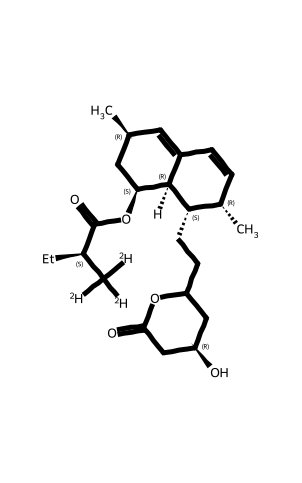 [2H]C([2H])([2H])[C@@H](CC)C(=O)O[C@H]1C[C@@H](C)C=C2C=C[C@H](C)[C@H](CCC3C[C@@H](O)CC(=O)O3)[C@H]21